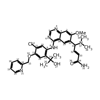 COc1cc2ncnc(Nc3cc(Cl)c(OCc4ccccn4)cc3C(C)(C)O)c2cc1C(C=CC(N)=O)N(C)C